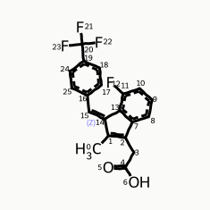 CC1=C(CC(=O)O)c2cccc(F)c2/C1=C\c1ccc(C(F)(F)F)cc1